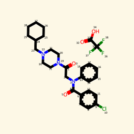 O=C(CN(C(=O)c1ccc(Cl)cc1)c1ccccc1)N1CCN(CC2CCCCC2)CC1.O=C(O)C(F)(F)F